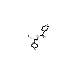 C/C(=C\OC(=O)c1ccncc1)c1ccc(Cl)cc1